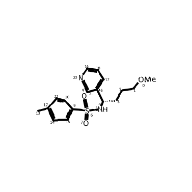 COCCC[C@H](NS(=O)(=O)c1ccc(C)cc1)c1cccnc1